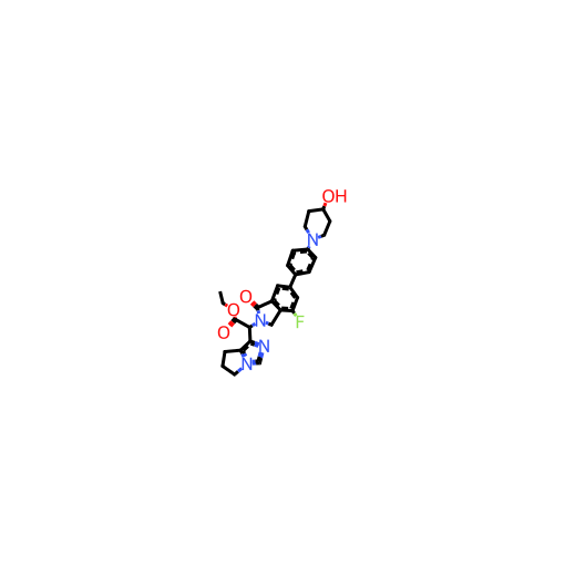 CCOC(=O)C(c1ncn2c1CCC2)N1Cc2c(F)cc(-c3ccc(N4CCC(O)CC4)cc3)cc2C1=O